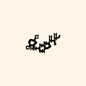 CCNC(=S)Nc1ccc2ncc(Nc3cc(Cl)ccc3Cl)nc2n1